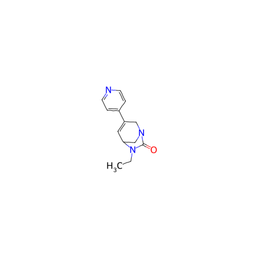 CCN1C(=O)N2CC(c3ccncc3)=CC1C2